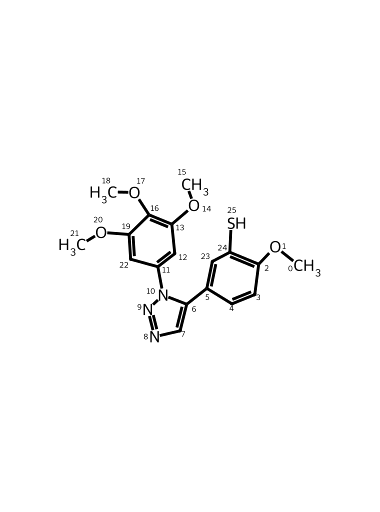 COc1ccc(-c2cnnn2-c2cc(OC)c(OC)c(OC)c2)cc1S